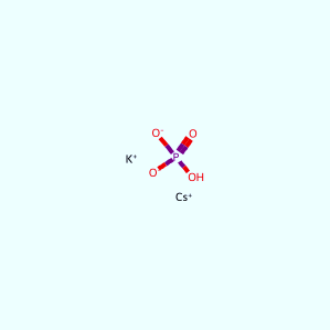 O=P([O-])([O-])O.[Cs+].[K+]